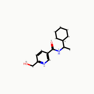 CC(NC(=O)c1ccc(CO)nc1)C1CCCCC1